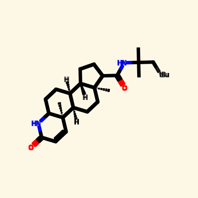 CC(C)(C)CC(C)(C)NC(=O)C1CC[C@H]2[C@@H]3CCC4NC(=O)C=C[C@]4(C)[C@@H]3CC[C@]12C